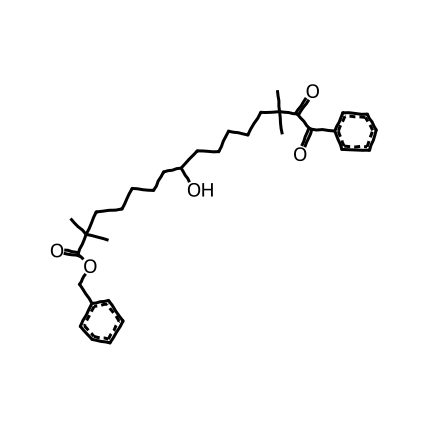 CC(C)(CCCCCC(O)CCCCCC(C)(C)C(=O)C(=O)c1ccccc1)C(=O)OCc1ccccc1